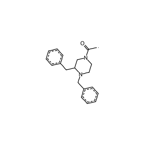 [CH2]C(=O)N1CCN(Cc2ccccc2)C(Cc2ccccc2)C1